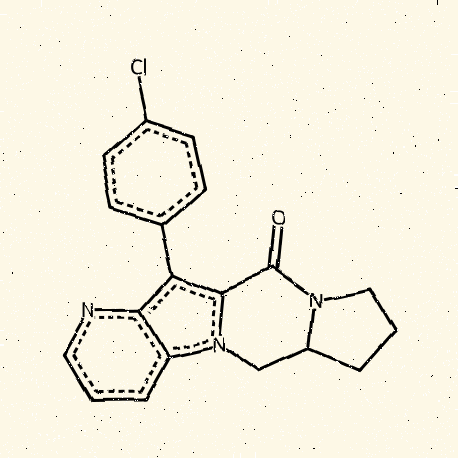 O=C1c2c(-c3ccc(Cl)cc3)c3ncccc3n2CC2CCCN12